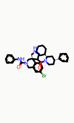 O=C(Nc1ccccc1)N1Cc2cc(Br)ccc2[C@@]2(CNCC2C(=O)N2CC[C@@H](c3ccccc3)C[C@H]2C2CCCCC2)C1